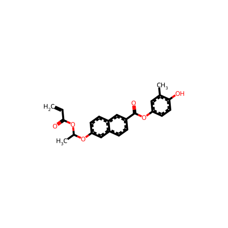 C=CC(=O)OC(C)Oc1ccc2cc(C(=O)Oc3ccc(O)c(C)c3)ccc2c1